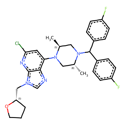 C[C@@H]1CN(c2cc(Cl)nc3c2ncn3C[C@@H]2CCCO2)[C@@H](C)CN1C(c1ccc(F)cc1)c1ccc(F)cc1